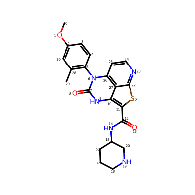 COc1ccc(N2C(=O)Nc3c(C(=O)N[C@@H]4CCCNC4)sc4nccc2c34)c(C)c1